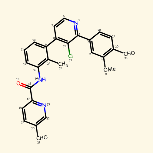 COc1cc(-c2nccc(-c3cccc(NC(=O)c4ccc(C=O)cn4)c3C)c2Cl)ccc1C=O